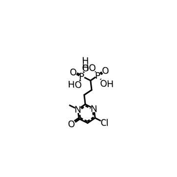 Cn1c(CCC(P(=O)(O)O)P(=O)(O)O)nc(Cl)cc1=O